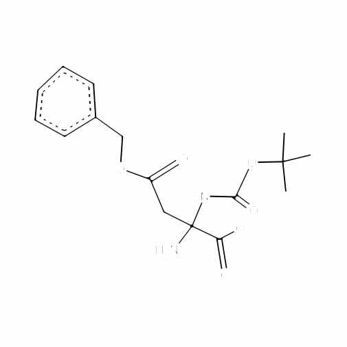 CC(C)(C)OC(=O)NC(N)(CC(=O)OCc1ccccc1)C(=O)O